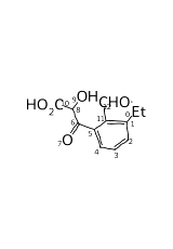 CCc1cccc(C(=O)C(O)C(=O)O)c1[C]=O